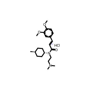 COc1ccc(/C=C/C(=O)N(CCN(C)C)[C@H]2CC[C@H](C)CC2)cc1OC.Cl